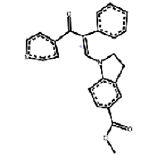 COC(=O)c1ccc2c(c1)CCN2/C=C(/C(=O)c1ccncc1)c1ccccc1